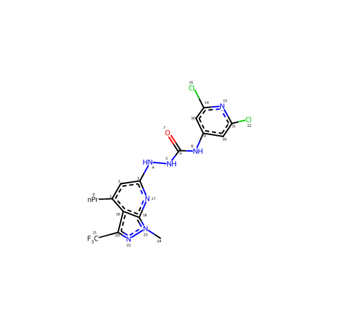 CCCc1cc(NNC(=O)Nc2cc(Cl)nc(Cl)c2)nc2c1c(C(F)(F)F)nn2C